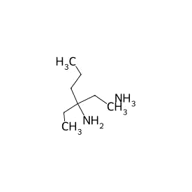 CCCC(N)(CC)CC.N